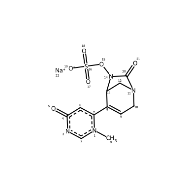 Cn1cnc(=O)cc1C1=CCN2CC1N(OS(=O)(=O)[O-])C2=O.[Na+]